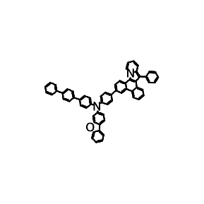 c1ccc(-c2ccc(-c3ccc(N(c4ccc(-c5ccc6c(c5)c5ccccc5c5c(-c7ccccc7)c7ccccn7c65)cc4)c4ccc5c(c4)oc4ccccc45)cc3)cc2)cc1